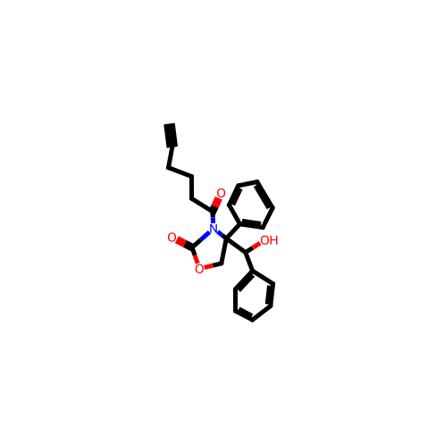 C#CCCCC(=O)N1C(=O)OCC1(c1ccccc1)C(O)c1ccccc1